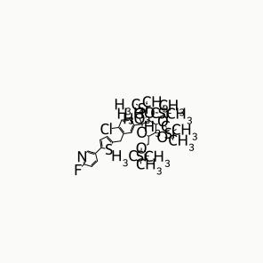 C[Si](C)(C)OCC1OC(O)(c2ccc(Cl)c(Cc3ccc(-c4ccc(F)nc4)s3)c2)[C@H](O[Si](C)(C)C)C(O[Si](C)(C)C)[C@@H]1O[Si](C)(C)C